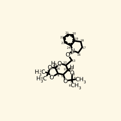 CC1(C)OC2C3OC(C)(C)O[C@H]3C(CON3CCCc4ccccc43)O[C@@H]2O1